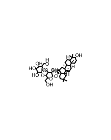 CC1(C)CC[C@]2(C(=O)O[C@H]3OC(CO)[C@H](O[C@@H]4OC(CO)[C@H](O)[C@@H](O)C4O)[C@@H](O)C3O)C(O)C[C@]3(C)C(=CC[C@@H]4[C@@]5(C)CC[C@H](O)C(C)(C)[C@@H]5CC[C@]43C)[C@@H]2C1